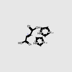 O=C(O)/C=C/C(=O)O.c1c[nH]cn1.c1c[nH]cn1